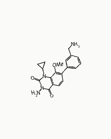 COc1c(-c2cccc(CN)c2)ccc2c(=O)n(N)c(=O)n(C3CC3)c12